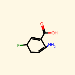 NC1=CCC(F)C=C1C(=O)O